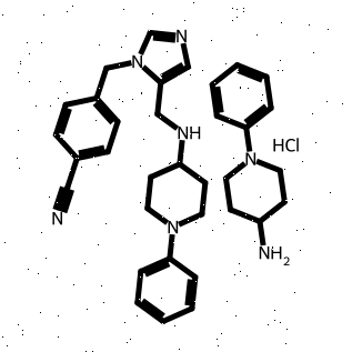 Cl.N#Cc1ccc(Cn2cncc2CNC2CCN(c3ccccc3)CC2)cc1.NC1CCN(c2ccccc2)CC1